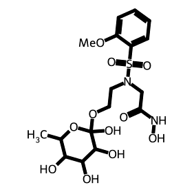 COc1ccccc1S(=O)(=O)N(CCOC1(O)OC(C)C(O)C(O)C1O)CC(=O)NO